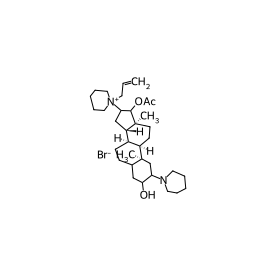 C=CC[N+]1(C2C[C@H]3[C@@H]4CCC5CC(O)C(N6CCCCC6)C[C@]5(C)[C@@H]4CC[C@]3(C)C2OC(C)=O)CCCCC1.[Br-]